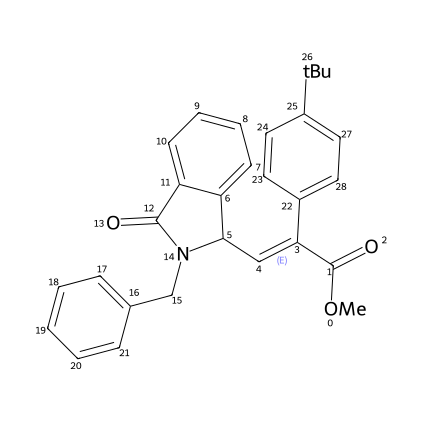 COC(=O)/C(=C/C1c2ccccc2C(=O)N1Cc1ccccc1)c1ccc(C(C)(C)C)cc1